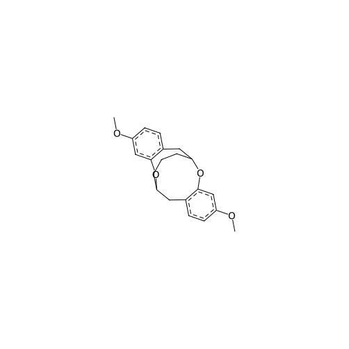 COc1ccc2c(c1)OC1CCCC(C2)Oc2cc(OC)ccc2C1